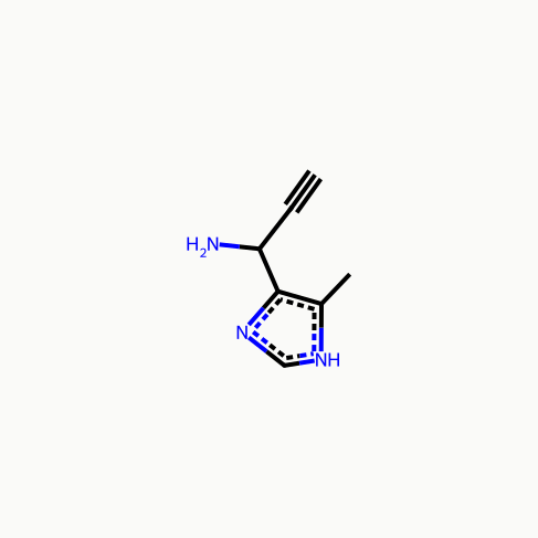 C#CC(N)c1nc[nH]c1C